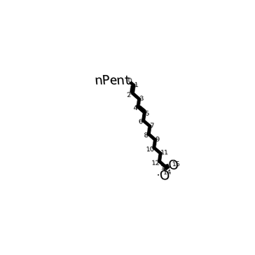 CCCCCC=CCC=CCCCCCCCC([O])=O